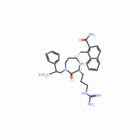 CCOC(=O)C(CN1CC[C@H](Cc2c(C(N)=O)ccc3ccccc23)N[C@@H](CCCNC(=N)N)C1=O)c1ccccc1